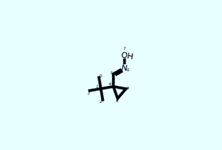 CC(C)(C)C1(C=NO)CC1